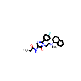 CCC(=O)Nc1cnc(-c2ccc(F)cc2)n(CCN(C)[C@@H]2CCCc3ccccc32)c1=O